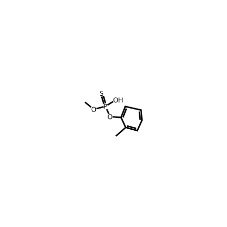 COP(O)(=S)Oc1ccccc1C